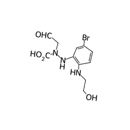 O=CCN(Nc1cc(Br)ccc1NCCO)C(=O)O